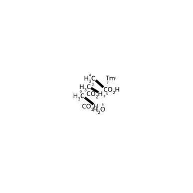 CC(=O)O.CC(=O)O.CC(=O)O.O.[Tm]